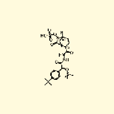 C[SiH](C)OC(C(=O)NNC(=O)[C@@H]1CC[C@@H]2CN1C(=O)N2OS(=O)(=O)O)c1ccc(C(C)(C)C)cc1